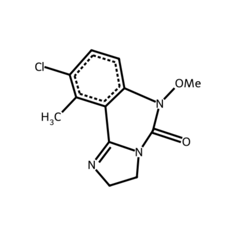 CON1C(=O)N2CCN=C2c2c1ccc(Cl)c2C